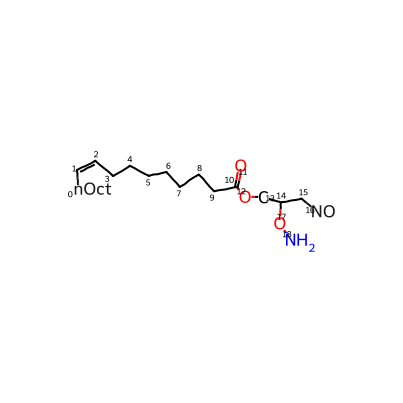 CCCCCCCC/C=C\CCCCCCCC(=O)OCC(CN=O)ON